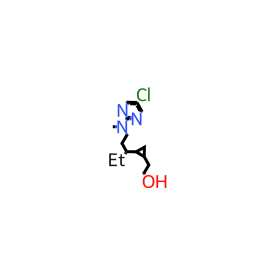 CCC(CCN(C)c1ncc(Cl)cn1)C1CC1CCO